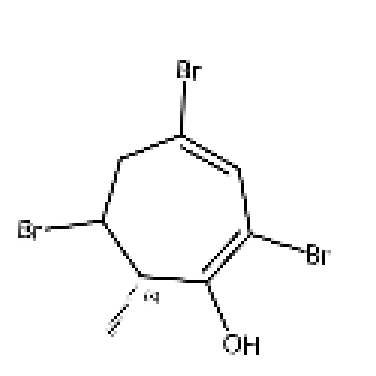 C[C@H]1C(O)=C(Br)C=C(Br)CC1Br